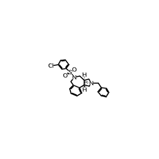 O=S(=O)(c1cccc(Cl)c1)N1Cc2ccccc2[C@H]2CN(Cc3ccccc3)C[C@@H]2C1